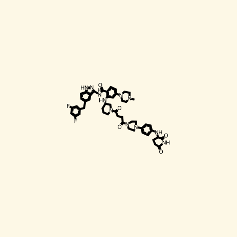 CN1CCN(c2ccc(C(=O)Nc3n[nH]c4ccc(Cc5cc(F)cc(F)c5)cc34)c(NC3CCCN(C(=O)CCC(=O)N4CCN(c5ccc(NC6CCC(=O)NC6=O)cc5)CC4)C3)c2)CC1